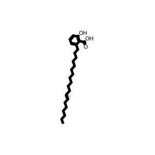 CCCCCC/C=C/CCCCCCCCCCCc1cccc(O)c1C(=O)O